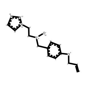 C=CCOc1ccc(C[S+]([O-])CCn2ccnn2)cc1